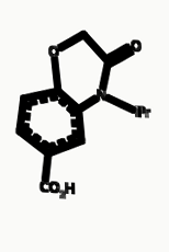 CC(C)N1C(=O)COc2ccc(C(=O)O)cc21